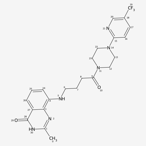 Cc1nc2c(NCCCC(=O)N3CCN(c4ccc(C(F)(F)F)cn4)CC3)cccc2c(=O)[nH]1